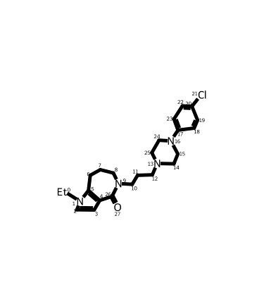 CCn1ccc2c1CCCN(CCCN1CCN(c3ccc(Cl)cc3)CC1)C2=O